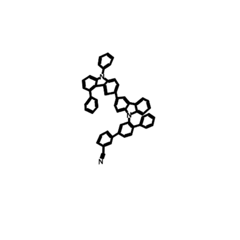 N#Cc1cccc(-c2ccc(-c3ccccc3)c(-n3c4ccccc4c4cc(-c5ccc6c(c5)c5c(-c7ccccc7)cccc5n6-c5ccccc5)ccc43)c2)c1